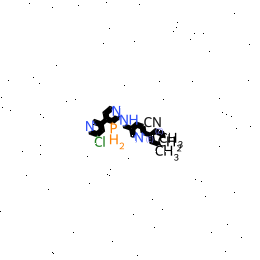 C=C(C)/C=C(\C=C/C)c1ncc(CNc2nccc(-c3cncc(Cl)c3)c2P)cc1C#N